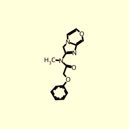 CN(C(=O)COc1ccccc1)C1=NC2=COC=CN2C1